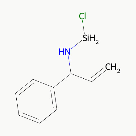 C=CC(N[SiH2]Cl)c1ccccc1